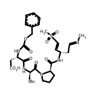 C/N=C/C[C@@H](/C=C/S(C)(=O)=O)NC(=O)[C@H]1CCCN1C(=O)[C@H](NC(=O)[C@H](CC(=O)O)NC(=O)OCc1ccccc1)C(C)(C)C